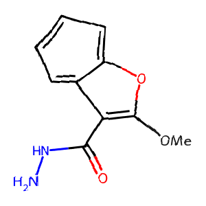 COc1oc2ccccc2c1C(=O)NN